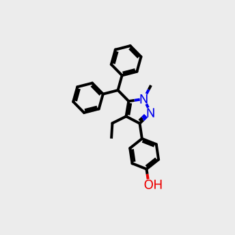 CCc1c(-c2ccc(O)cc2)nn(C)c1C(c1ccccc1)c1ccccc1